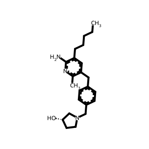 CCCCCc1cc(Cc2ccc(CN3CC[C@H](O)C3)cc2)c(C)nc1N